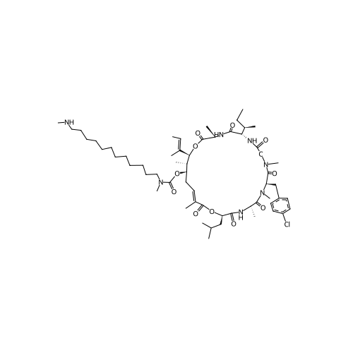 C/C=C(\C)[C@H]1OC(=O)[C@@H](C)NC(=O)[C@H]([C@H](C)CC)NC(=O)CN(C)C(=O)[C@@H](Cc2ccc(Cl)cc2)N(C)C(=O)[C@H](C)NC(=O)[C@@H](CC(C)C)OC(=O)/C(C)=C/C[C@@H](OC(=O)N(C)CCCCCCCCCCCCNC)[C@@H]1C